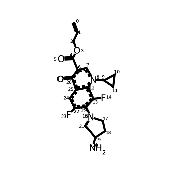 C=CCOC(=O)c1cn(C2CC2)c2c(F)c(N3CCC(N)C3)c(F)cc2c1=O